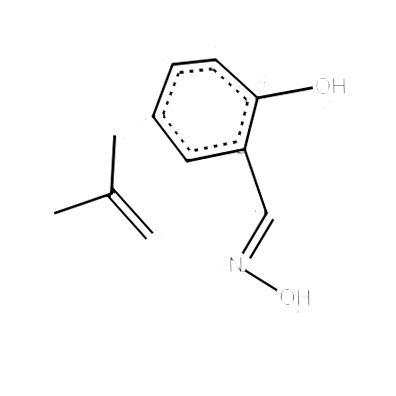 C=C(C)C.ON=Cc1ccccc1O